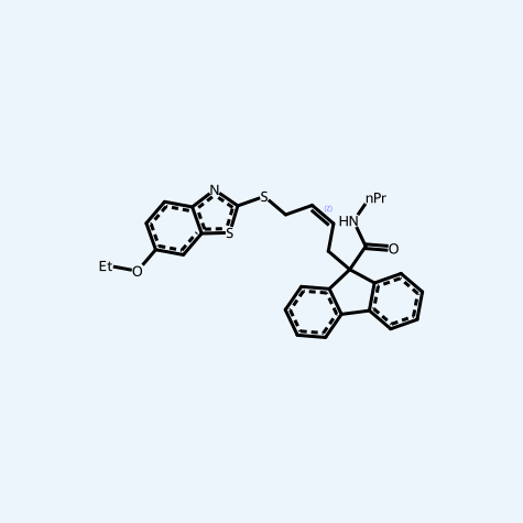 CCCNC(=O)C1(C/C=C\CSc2nc3ccc(OCC)cc3s2)c2ccccc2-c2ccccc21